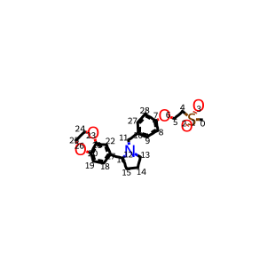 CS(=O)(=O)CCOc1ccc(CN2CCCC2c2ccc3c(c2)OCCO3)cc1